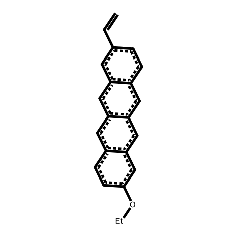 C=Cc1ccc2cc3cc4cc(OCC)ccc4cc3cc2c1